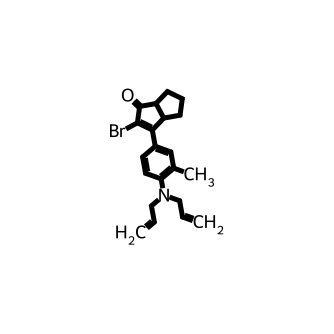 C=CCN(CC=C)c1ccc(C2=C(Br)C(=O)C3CCCC23)cc1C